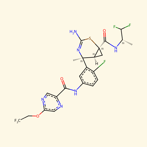 C[C@H](NC(=O)[C@]12C[C@H]1[C@@](C)(c1cc(NC(=O)c3cnc(OCC(F)(F)F)cn3)ccc1F)N=C(N)S2)C(F)F